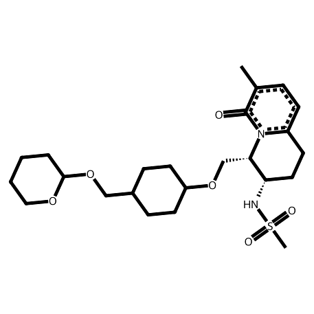 Cc1ccc2n(c1=O)[C@@H](COC1CCC(COC3CCCCO3)CC1)[C@@H](NS(C)(=O)=O)CC2